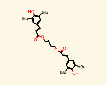 CC(C)(C)c1cc(C=CC(=O)OCCCCOC(=O)C=Cc2cc(C(C)(C)C)c(O)c(C(C)(C)C)c2)cc(C(C)(C)C)c1O